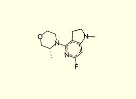 C[C@@H]1COCCN1c1nc(F)cc2c1CCN2C